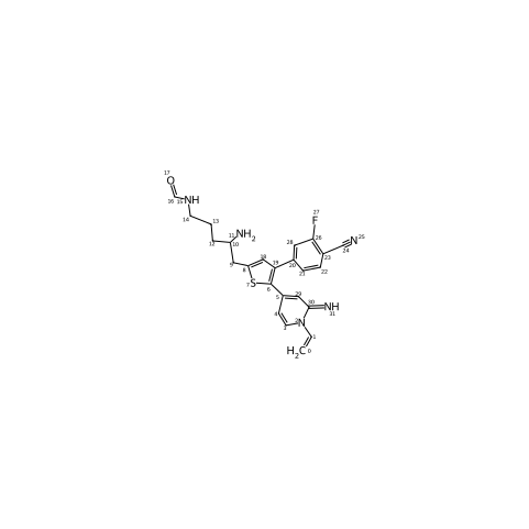 C=Cn1ccc(-c2sc(CC(N)CCCNC=O)cc2-c2ccc(C#N)c(F)c2)cc1=N